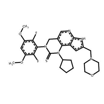 COc1cc(OC)c(F)c(N2Cc3cnc4[nH]c(CN5CCOCC5)cc4c3N(C3CCCC3)C2=S)c1F